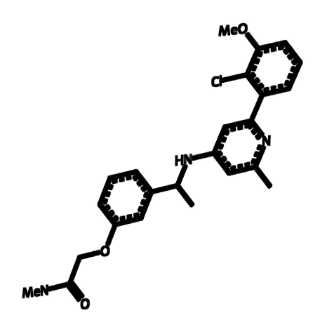 CNC(=O)COc1cccc(C(C)Nc2cc(C)nc(-c3cccc(OC)c3Cl)c2)c1